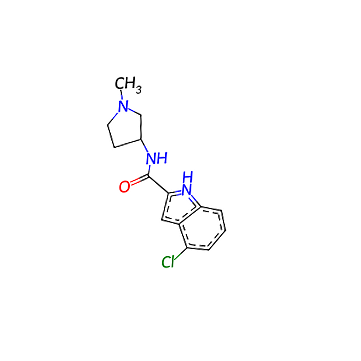 CN1CCC(NC(=O)c2cc3c(Cl)cccc3[nH]2)C1